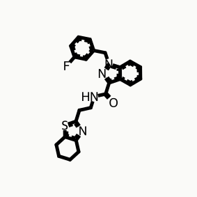 O=C(NCCc1nc2c(s1)CCCC2)c1nn(Cc2cccc(F)c2)c2ccccc12